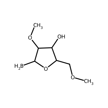 BC1OC(COC)C(O)C1OC